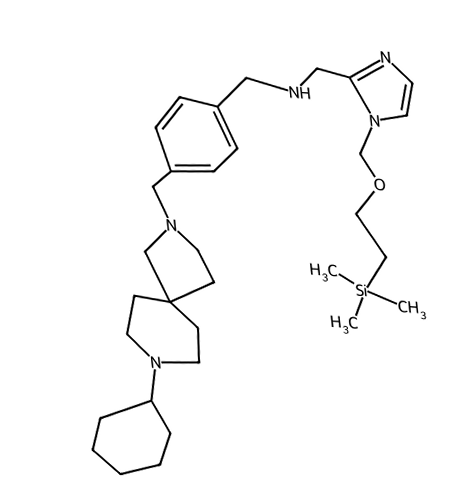 C[Si](C)(C)CCOCn1ccnc1CNCc1ccc(CN2CCC3(CCN(C4CCCCC4)CC3)C2)cc1